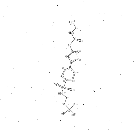 CCNC(=O)Cc1nc(-c2ccc(S(=O)(=O)NCCC(F)(F)F)cc2)cs1